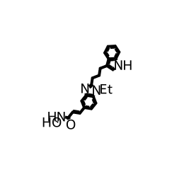 CCn1c(CCCc2c[nH]c3ccccc23)nc2cc(C=CC(=O)NO)ccc21